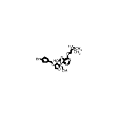 C[Si](C)(C)CCOc1ncnc2c1ncn2[C@@]1(CO)OC[C@H](OCc2ccc(Br)cc2)[C@@H]1O